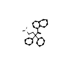 C[C@@H](CC(C(=O)c1cccc2ccccc12)(c1ccccc1)c1ccccc1)N(C)C